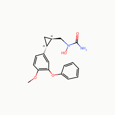 COc1ccc([C@@H]2C[C@H]2CN(O)C(N)=O)cc1Oc1ccccc1